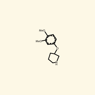 COc1ccc(OC2CCCNC2)cc1OC